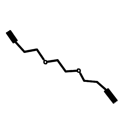 C#CCCOCCOCCC#C